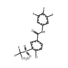 CCOC(=O)C(F)(F)S(=O)(=O)c1cc(C(=O)Nc2cc(F)c(F)c(F)c2)ccc1Cl